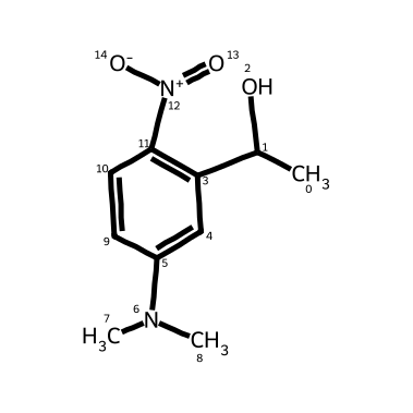 CC(O)c1cc(N(C)C)ccc1[N+](=O)[O-]